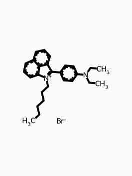 CCCCCC[N+]1=C(c2ccc(N(CC)CC)cc2)c2cccc3cccc1c23.[Br-]